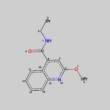 CCCOc1cc(C(=O)NCC(C)C)c2ccccc2n1